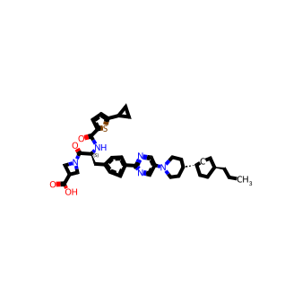 CCC[C@H]1CC[C@H](C2CCN(c3cnc(-c4ccc(C[C@H](NC(=O)c5ccc(C6CC6)s5)C(=O)N5CC(C(=O)O)C5)cc4)nc3)CC2)CC1